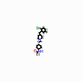 CCC(=O)N[C@H]1CC[C@H](CCN2CCC(Cc3cc(F)ccc3Br)CC2)CC1